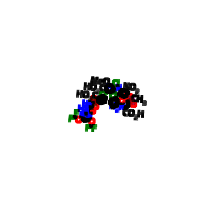 COc1c(Cl)ccc(Cl)c1C(=O)O.CP(=O)(O)CCC(N)C(=O)O.Nc1c([N+](=O)[O-])ccc(Oc2ccccc2)c1Cl.O=C(Nc1nc(OC(F)F)cc(OC(F)F)n1)NS(=O)(=O)c1ccccc1C(=O)O